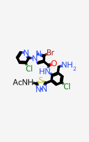 CC(=O)Nc1nnc(-c2cc(Cl)cc(CN)c2NC(=O)c2cn(-c3ncccc3Cl)nc2Br)s1